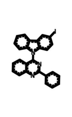 Ic1ccc2c(c1)c1ccccc1n2-c1nc(-c2ccccc2)nc2ccccc12